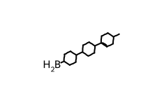 BC1CCC(C2CCC(C3=CCC(C)CC3)CC2)CC1